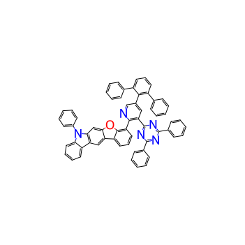 c1ccc(-c2nc(-c3ccccc3)nc(-c3cc(-c4c(-c5ccccc5)cccc4-c4ccccc4)cnc3-c3cccc4c3oc3cc5c(cc34)c3ccccc3n5-c3ccccc3)n2)cc1